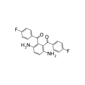 Nc1ccc(N)c(C(=O)c2ccc(F)cc2)c1C(=O)c1ccc(F)cc1